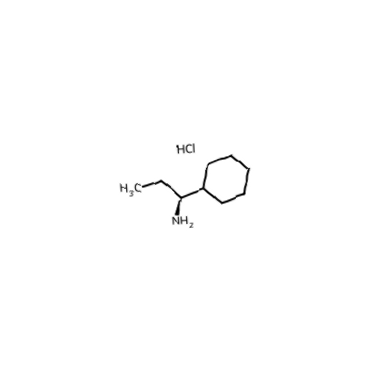 CC[C@H](N)C1CCCCC1.Cl